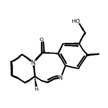 Cc1cc2c(cc1CO)C(=O)N1CCCC[C@H]1C=N2